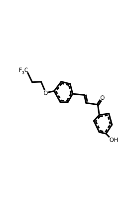 O=C(C=Cc1ccc(OCCC(F)(F)F)cc1)c1ccc(O)cc1